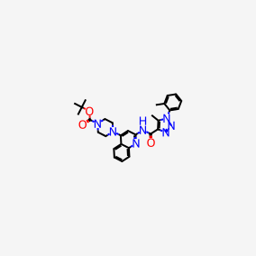 Cc1ccccc1-n1nnc(C(=O)Nc2cc(N3CCN(C(=O)OC(C)(C)C)CC3)c3ccccc3n2)c1C